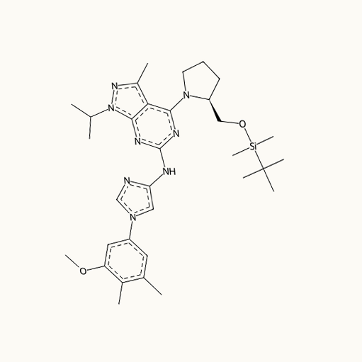 COc1cc(-n2cnc(Nc3nc(N4CCC[C@H]4CO[Si](C)(C)C(C)(C)C)c4c(C)nn(C(C)C)c4n3)c2)cc(C)c1C